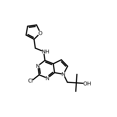 CC(C)(O)Cn1ccc2c(NCc3ccco3)nc(Cl)nc21